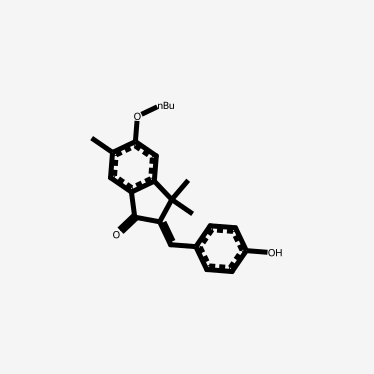 CCCCOc1cc2c(cc1C)C(=O)/C(=C/c1ccc(O)cc1)C2(C)C